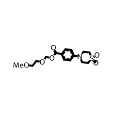 COCCOCOC(=O)c1ccc(N2CCS(=O)(=O)CC2)cc1